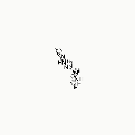 Cc1cn2c(-c3cnn(CC(=O)Nc4cccc(F)c4F)c3)cnc2c(Nc2cc(CN3CCCC(C)C3)ns2)n1